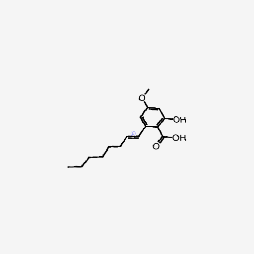 CCCCCC/C=C/c1cc(OC)cc(O)c1C(=O)O